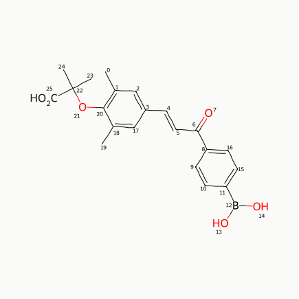 Cc1cc(/C=C/C(=O)c2ccc(B(O)O)cc2)cc(C)c1OC(C)(C)C(=O)O